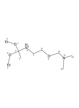 CCOC(C)(OCC)[SiH2]CCOCN(C)C